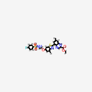 CCOC(=O)c1cnc2c(-c3nc4c(C)cc(OCCNS(=O)(=O)c5ccc(F)cc5)cc4s3)cc(C)cc2n1